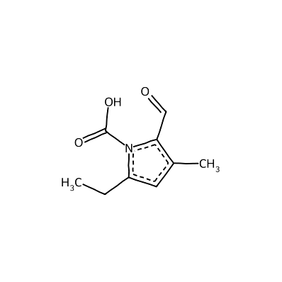 CCc1cc(C)c(C=O)n1C(=O)O